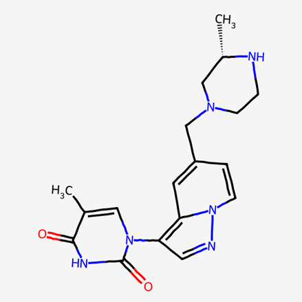 Cc1cn(-c2cnn3ccc(CN4CCN[C@@H](C)C4)cc23)c(=O)[nH]c1=O